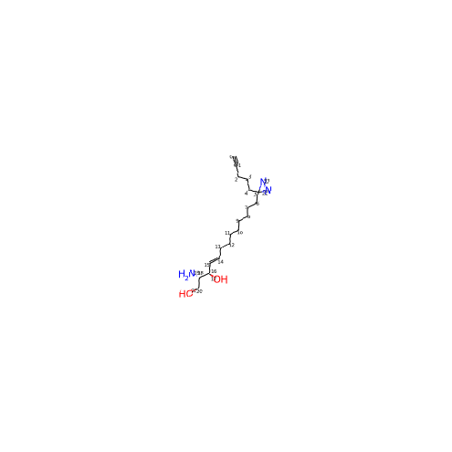 C#CCCCC1(CCCCCCCC/C=C/[C@@H](O)[C@@H](N)CO)N=N1